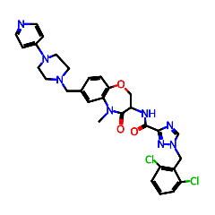 CN1C(=O)C(NC(=O)c2ncn(Cc3c(Cl)cccc3Cl)n2)COc2ccc(CN3CCN(c4ccncc4)CC3)cc21